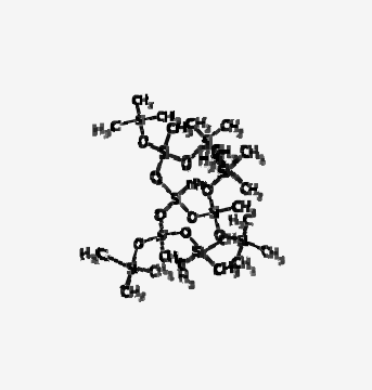 [CH2]CC[Si](O[Si](C)(O[Si](C)(C)C)O[Si](C)(C)C)(O[Si](C)(O[Si](C)(C)C)O[Si](C)(C)C)O[Si](C)(O[Si](C)(C)C)O[Si](C)(C)C